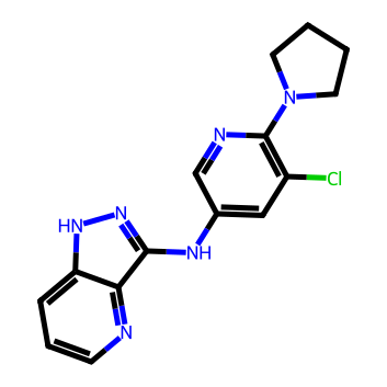 Clc1cc(Nc2n[nH]c3cccnc23)cnc1N1CCCC1